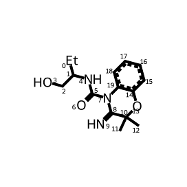 CCC(CO)NC(=O)N1C(=N)C(C)(C)Oc2ccccc21